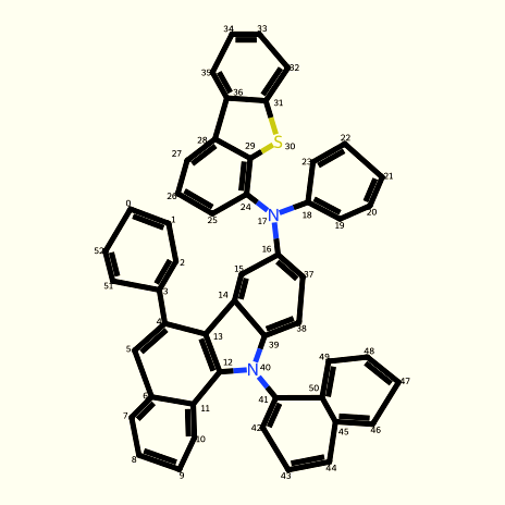 c1ccc(-c2cc3ccccc3c3c2c2cc(N(c4ccccc4)c4cccc5c4sc4ccccc45)ccc2n3-c2cccc3ccccc23)cc1